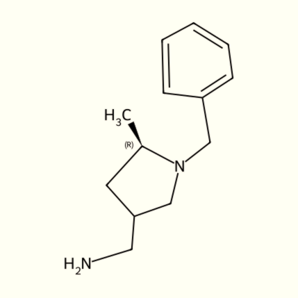 C[C@@H]1CC(CN)CN1Cc1ccccc1